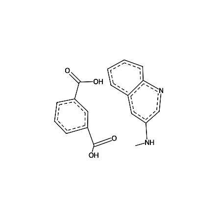 CNc1cnc2ccccc2c1.O=C(O)c1cccc(C(=O)O)c1